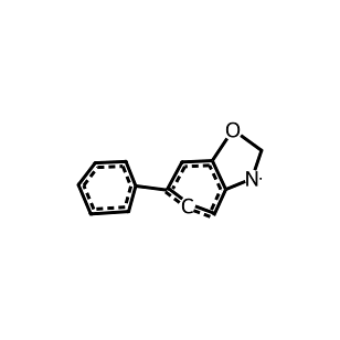 c1ccc(-c2ccc3c(c2)OC[N]3)cc1